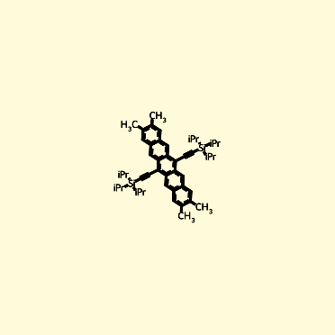 Cc1cc2cc3c(C#C[Si](C(C)C)(C(C)C)C(C)C)c4cc5cc(C)c(C)cc5cc4c(C#C[Si](C(C)C)(C(C)C)C(C)C)c3cc2cc1C